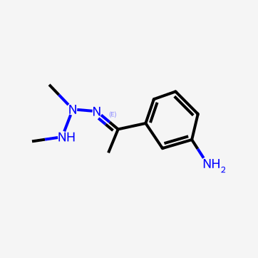 CNN(C)/N=C(\C)c1cccc(N)c1